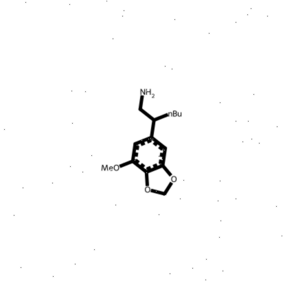 CCCCC(CN)c1cc(OC)c2c(c1)OCO2